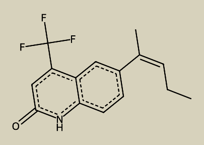 CC/C=C(/C)c1ccc2[nH]c(=O)cc(C(F)(F)F)c2c1